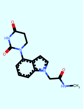 CNC(=O)Cn1ccc2c(N3CCC(=O)NC3=O)cccc21